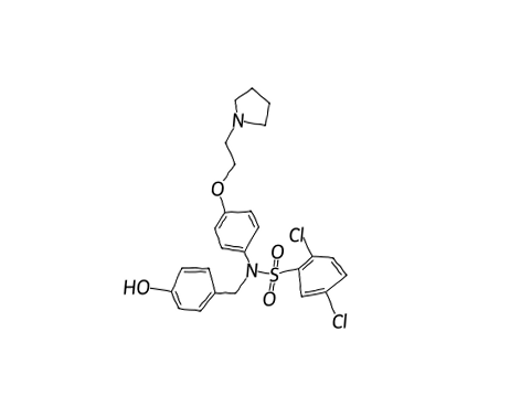 O=S(=O)(c1cc(Cl)ccc1Cl)N(Cc1ccc(O)cc1)c1ccc(OCCN2CCCC2)cc1